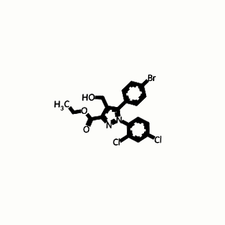 CCOC(=O)c1nn(-c2ccc(Cl)cc2Cl)c(-c2ccc(Br)cc2)c1CO